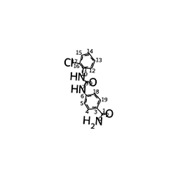 NC(=O)c1ccc(NC(=O)Nc2ccccc2Cl)cc1